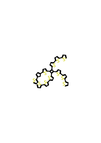 C1=C(c2cccs2)CC(c2ccc(C3=C(c4ccc(-c5ccc(-c6cccs6)s5)s4)C(c4ccc(-c5ccc(-c6cccs6)s5)s4)=C3c3ccc(-c4ccc(-c5cccs5)s4)s3)s2)=C1